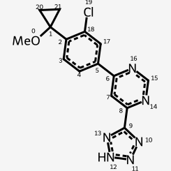 COC1(c2ccc(-c3cc(-c4nn[nH]n4)ncn3)cc2Cl)CC1